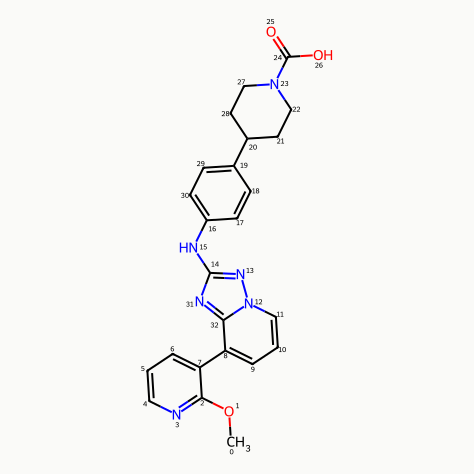 COc1ncccc1-c1cccn2nc(Nc3ccc(C4CCN(C(=O)O)CC4)cc3)nc12